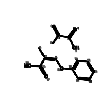 C=C(C)C(=O)O.CC(=COc1ccccc1)C(=O)O